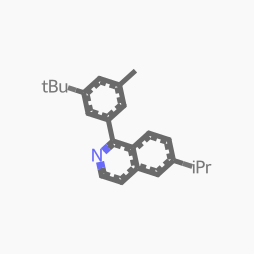 Cc1cc(-c2nccc3cc(C(C)C)ccc23)cc(C(C)(C)C)c1